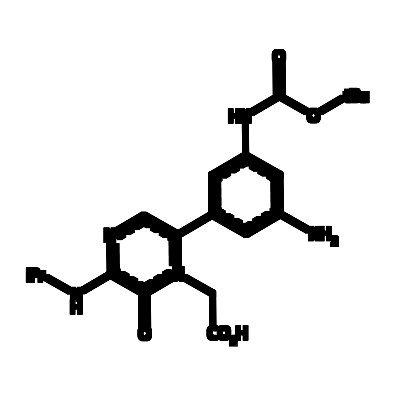 CC(C)Nc1ncc(-c2cc(N)cc(NC(=O)OC(C)(C)C)c2)n(CC(=O)O)c1=O